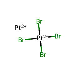 [Br][Pt-2]([Br])([Br])[Br].[Pt+2]